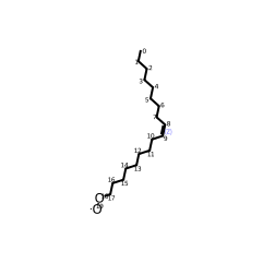 CCCCCCCC/C=C\CCCCCCCCO[O]